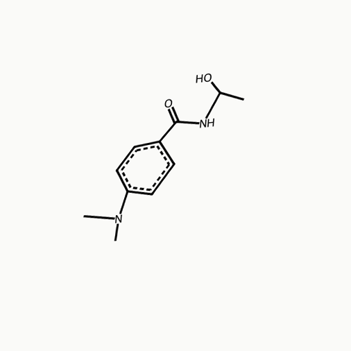 CC(O)NC(=O)c1ccc(N(C)C)cc1